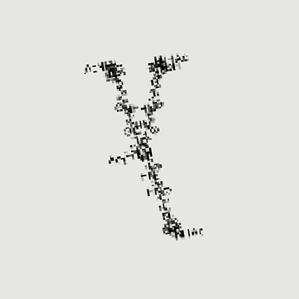 CC(=O)CCCC(=O)NC(COCCC(=O)NCCCNC(=O)CCCCOC[C@@]12CO[C@H](O1)[C@H](NC(C)=O)[C@@H](O)C2)(COCCC(=O)NCCCNC(=O)CCCCOC[C@@]12CC[C@@H](NC(C)=O)[C@H](OC1)O2)COCCC(=O)NCCCNC(=O)CCCCOC[C@@]12CC[C@@H](NC(C)=O)[C@H](OC1)O2